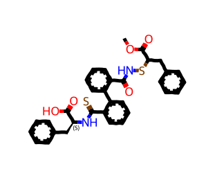 COC(=O)C(Cc1ccccc1)SNC(=O)c1ccccc1-c1ccccc1C(=S)N[C@@H](Cc1ccccc1)C(=O)O